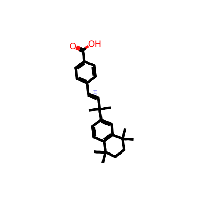 CC(C)(/C=C/c1ccc(C(=O)O)cc1)c1ccc2c(c1)C(C)(C)CCC2(C)C